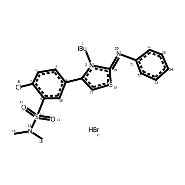 Br.CCC(C)n1c(-c2ccc(Cl)c(S(=O)(=O)N(C)C)c2)csc1=Nc1ccccc1